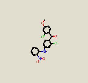 COc1ccc(C(=O)c2ccc(Nc3ccccc3[N+](=O)[O-])cc2Cl)c(Cl)c1